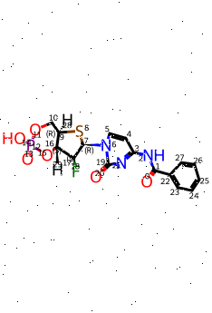 O=C(Nc1ccn([C@@H]2S[C@@H]3COP(=O)(O)O[C@H]3[C@@H]2F)c(=O)n1)c1ccccc1